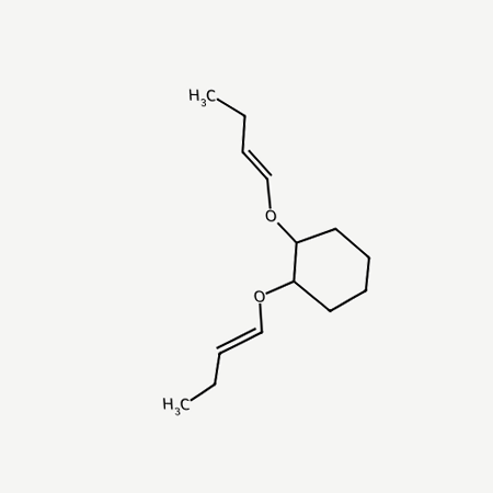 CCC=COC1CCCCC1OC=CCC